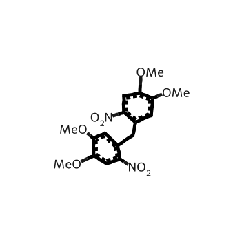 COc1cc(Cc2cc(OC)c(OC)cc2[N+](=O)[O-])c([N+](=O)[O-])cc1OC